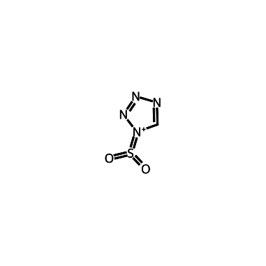 O=S(=O)=[N+]1C=NN=N1